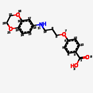 O=C(O)c1ccc(OCCCNc2ccc3c(c2)OCCO3)cc1